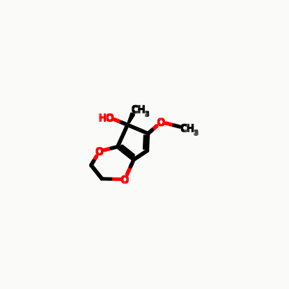 COC1=CC2=C(OCCO2)[C@]1(C)O